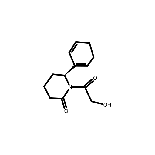 O=C(CO)N1C(=O)CCC[C@H]1C1=CCCC=C1